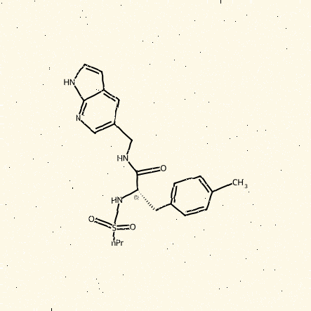 CCCS(=O)(=O)N[C@@H](Cc1ccc(C)cc1)C(=O)NCc1cnc2[nH]ccc2c1